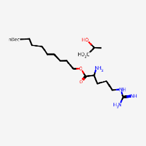 CC(O)C(=O)O.CCCCCCCCCCCCCCCCCCOC(=O)C(N)CCCNC(=N)N